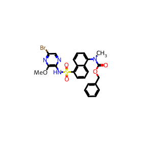 COc1nc(Br)cnc1NS(=O)(=O)c1cccc2c(N(C)C(=O)OCc3ccccc3)cccc12